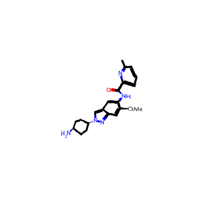 COc1cc2nn([C@H]3CC[C@H](N)CC3)cc2cc1NC(=O)c1cccc(C)n1